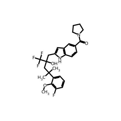 COc1c(F)cccc1C(C)(C)CC(O)(Cc1cc2cc(C(=O)N3CCCC3)ccc2[nH]1)C(F)(F)F